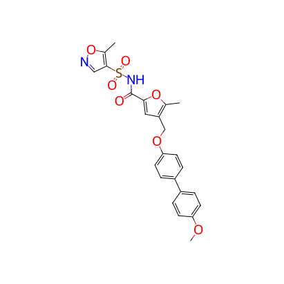 COc1ccc(-c2ccc(OCc3cc(C(=O)NS(=O)(=O)c4cnoc4C)oc3C)cc2)cc1